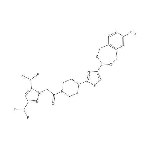 O=C(Cn1nc(C(F)F)cc1C(F)F)N1CCC(c2nc(C3OCc4ccc(C(F)(F)F)cc4CO3)cs2)CC1